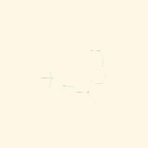 CC(C)COC[C@H](C)OC(=O)[C@H](C)NC(=O)OC(C)(C)C